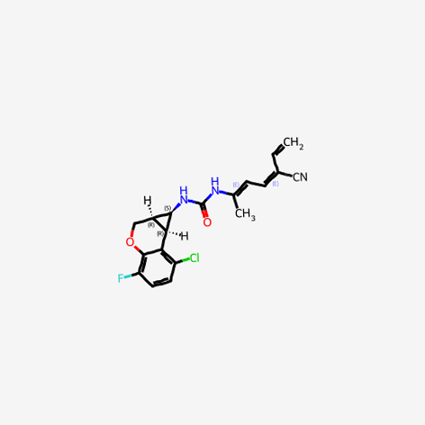 C=C/C(C#N)=C\C=C(/C)NC(=O)N[C@@H]1[C@@H]2COc3c(F)ccc(Cl)c3[C@@H]21